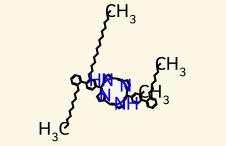 CCCCCCCCCCCCCCCCc1cc(-c2c3nc(cc4ccc([nH]4)c(-c4ccc(-c5ccccc5CCCCCCCC)c(C)c4)c4nc(cc5ccc2[nH]5)C=C4)C=C3)ccc1-c1ccccc1CCCCCCCCCC